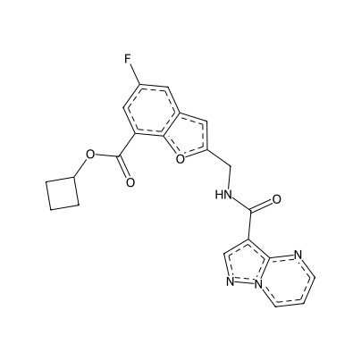 O=C(OC1CCC1)c1cc(F)cc2cc(CNC(=O)c3cnn4cccnc34)oc12